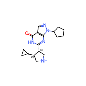 O=c1[nH]c([C@@H]2CNC[C@H]2C2CC2)nc2c1cnn2C1CCCC1